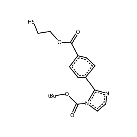 CC(C)(C)OC(=O)n1ccnc1-c1ccc(C(=O)OCCS)cc1